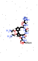 CCCCCCCCCC(=O)N[C@@H](CO)C(=O)N(C)[C@@H]1C(=O)N[C@@H](C)C(=O)N[C@H](C(=O)N[C@@H](C)C(=O)c2nnn[nH]2)Cc2ccc(OCCN)c(c2)-c2cc1ccc2OCCN